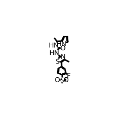 Cc1nc(NC(=O)NC(C)c2ccc[nH]2)sc1-c1ccc(S(C)(=O)=O)c(F)c1